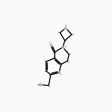 O=C1c2ccc(CO)nc2CCN1C1COC1